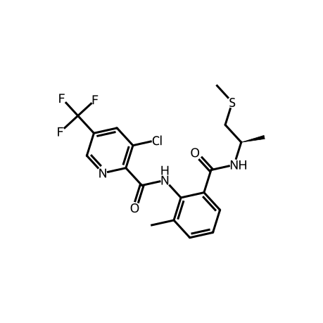 CSC[C@@H](C)NC(=O)c1cccc(C)c1NC(=O)c1ncc(C(F)(F)F)cc1Cl